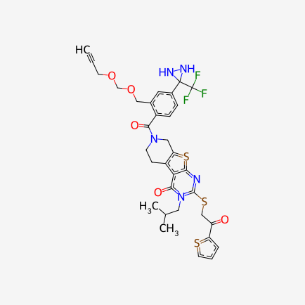 C#CCOCOCc1cc(C2(C(F)(F)F)NN2)ccc1C(=O)N1CCc2c(sc3nc(SCC(=O)c4cccs4)n(CC(C)C)c(=O)c23)C1